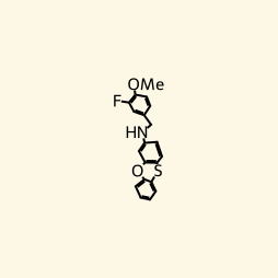 COc1ccc(CNc2ccc3c(c2)Oc2ccccc2S3)cc1F